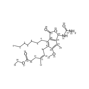 CCCCCCCc1c(CC=C(C)CCC(=O)OCC)c(OC)c(C)c2c1C(=O)OC2NC(N)=O